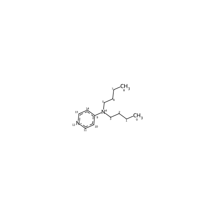 CCCCN(CCCC)c1ccncc1